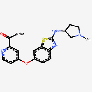 CNC(=O)c1cc(Oc2ccc3nc(NC4CCN(C(C)=O)C4)sc3c2)ccn1